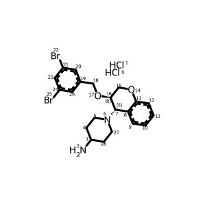 Cl.Cl.NC1CCN([C@H]2c3ccccc3OC[C@@H]2OCc2cc(Br)cc(Br)c2)CC1